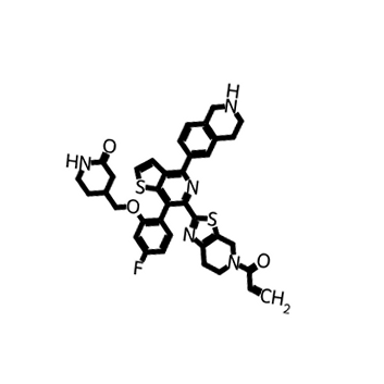 C=CC(=O)N1CCc2nc(-c3nc(-c4ccc5c(c4)CCNC5)c4ccsc4c3-c3ccc(F)cc3OCC3CCNC(=O)C3)sc2C1